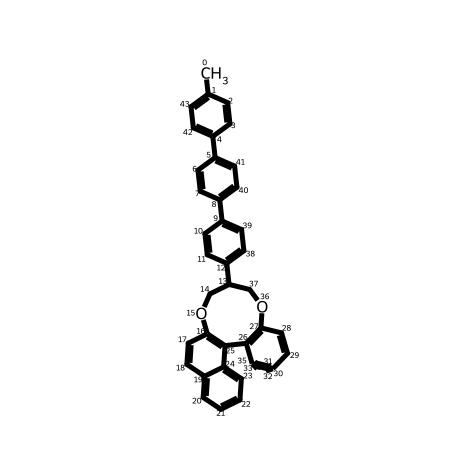 Cc1ccc(-c2ccc(-c3ccc(C4COc5ccc6ccccc6c5-c5c(ccc6ccccc56)OC4)cc3)cc2)cc1